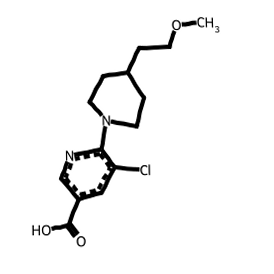 COCCC1CCN(c2ncc(C(=O)O)cc2Cl)CC1